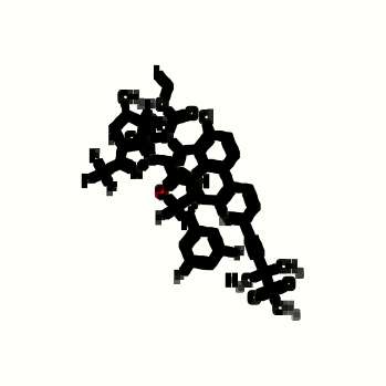 C[C@@H]1Cc2c(C(F)(F)F)nn(CC(=O)N[C@@H](Cc3cc(F)cc(F)c3)c3nc(C#CC(C)(C)S(C)(=O)=O)ccc3-c3ccc(Cl)c4c(N(C(=O)OCI)S(C)(=O)=O)nn(CC(F)(F)F)c34)c2C1(F)F